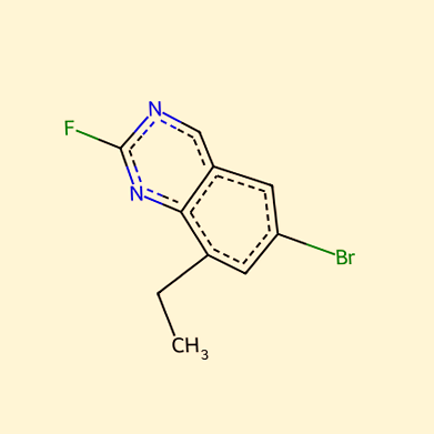 CCc1cc(Br)cc2cnc(F)nc12